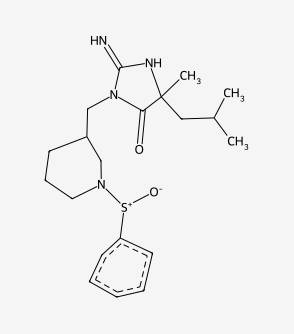 CC(C)CC1(C)NC(=N)N(CC2CCCN([S+]([O-])c3ccccc3)C2)C1=O